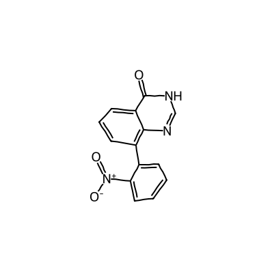 O=c1[nH]cnc2c(-c3ccccc3[N+](=O)[O-])cccc12